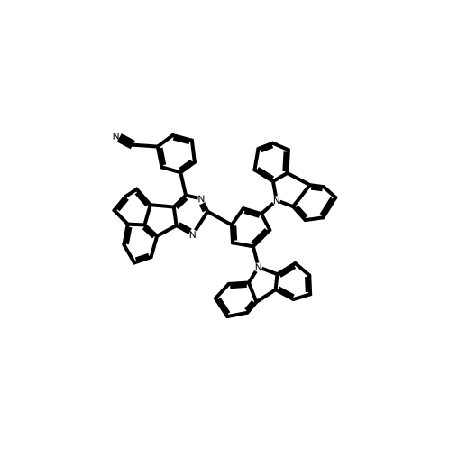 N#Cc1cccc(-c2nc(-c3cc(-n4c5ccccc5c5ccccc54)cc(-n4c5ccccc5c5ccccc54)c3)nc3c2-c2cccc4cccc-3c24)c1